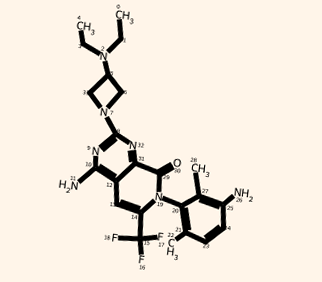 CCN(CC)C1CN(c2nc(N)c3cc(C(F)(F)F)n(-c4c(C)ccc(N)c4C)c(=O)c3n2)C1